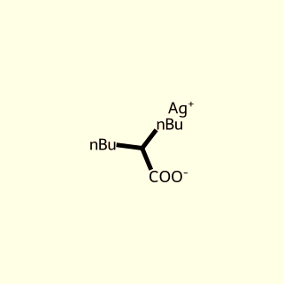 CCCCC(CCCC)C(=O)[O-].[Ag+]